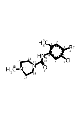 Cc1cc(Br)c(Cl)cc1NC(=O)N1CCN(C)CC1